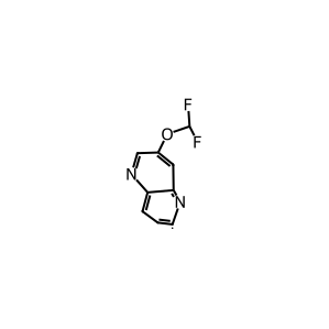 FC(F)Oc1cnc2cc[c]nc2c1